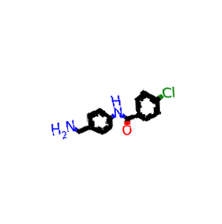 NCc1ccc(NC(=O)c2ccc(Cl)cc2)cc1